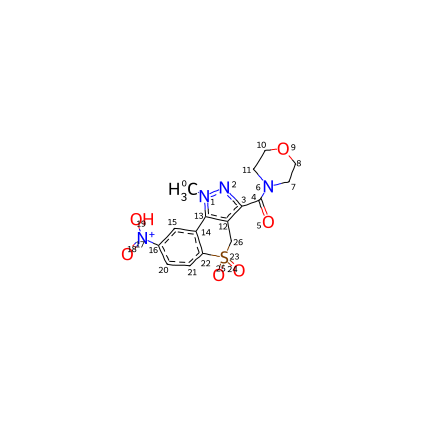 Cn1nc(C(=O)N2CCOCC2)c2c1-c1cc([N+](=O)O)ccc1S(=O)(=O)C2